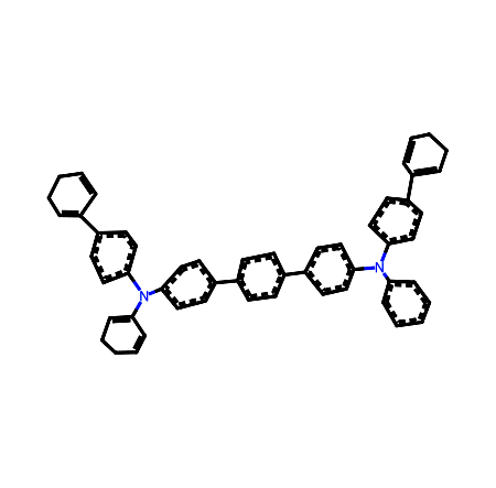 C1=CC(c2ccc(N(C3=CCCC=C3)c3ccc(-c4ccc(-c5ccc(N(c6ccccc6)c6ccc(C7=CCCC=C7)cc6)cc5)cc4)cc3)cc2)=CCC1